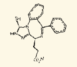 O=C(O)CC[C@@H]1N=C(c2ccccc2)c2ccccc2N2C1=NN[C@H]2S